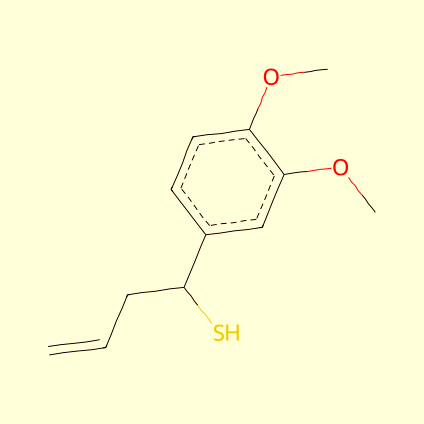 C=CCC(S)c1ccc(OC)c(OC)c1